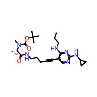 CCCNc1nc(NC2CC2)ncc1C#CCCCNC(=O)[C@H](C)N(C)C(=O)OC(C)(C)C